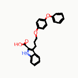 O=C(O)c1[nH]c2ccccc2c1CCCOc1ccc(Oc2ccccc2)cc1